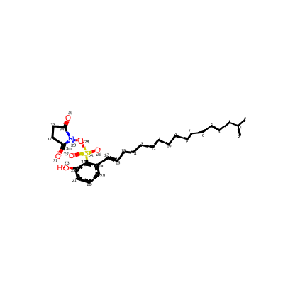 CC(C)CCCCCCCCCCCCCC=Cc1cccc(O)c1S(=O)(=O)ON1C(=O)CCC1=O